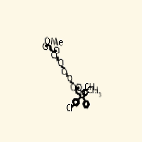 COC(=O)/C=C/C(=O)OCCOCCOCCOCCOC(=O)Cc1c(-c2ccc(Cl)cc2)c(-c2ccccc2)c2n1CC(C)(C)C2